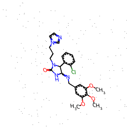 COc1cc(CN=C2NC(=O)N(CCCn3ccnc3)C2c2ccccc2Cl)cc(OC)c1OC